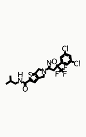 CC(C)CNC(=O)c1cc2c(s1)CN(C1=NOC(c3cc(Cl)cc(Cl)c3)(C(F)(F)F)C1)C2